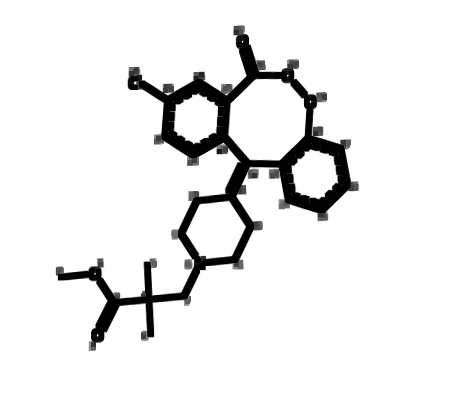 COC(=O)C(C)(C)CN1CCC(=C2c3ccccc3OOC(=O)c3cc(Cl)ccc32)CC1